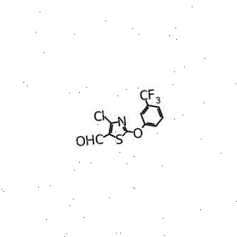 O=Cc1sc(Oc2cccc(C(F)(F)F)c2)nc1Cl